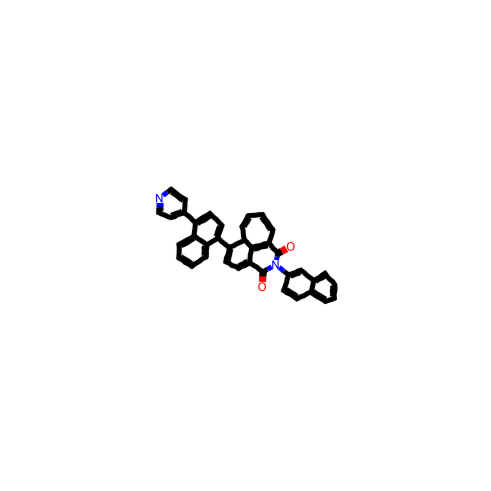 O=C1C2=CC=C(c3ccc(-c4ccncc4)c4ccccc34)C3C=CC=CC(=C23)C(=O)N1c1ccc2ccccc2c1